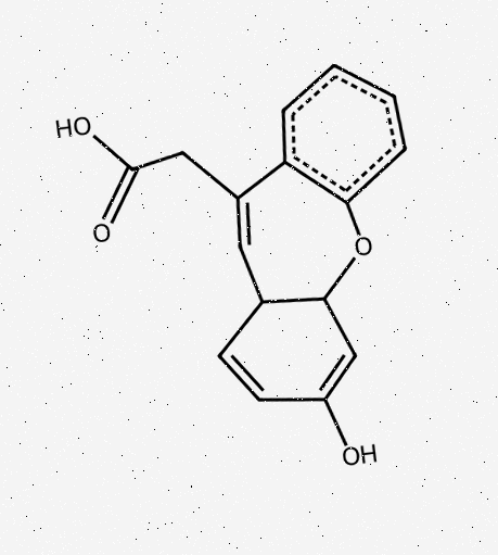 O=C(O)CC1=CC2C=CC(O)=CC2Oc2ccccc21